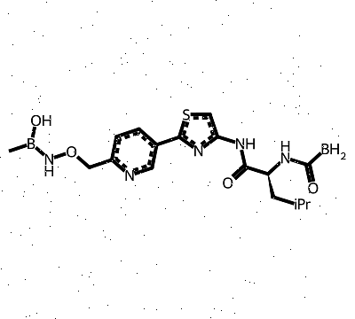 BC(=O)N[C@@H](CC(C)C)C(=O)Nc1csc(-c2ccc(CONB(C)O)nc2)n1